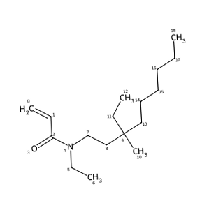 C=CC(=O)N(CC)CCC(C)(CC)CCCCCC